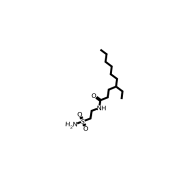 CCCCCCC(CC)CCC(=O)NCCS(N)(=O)=O